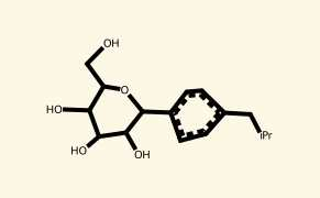 CC(C)Cc1ccc(C2OC(CO)C(O)C(O)C2O)cc1